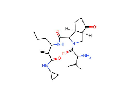 C=C(C(=O)NC1CC1)C(CCC)NC(=O)C1[C@H]2CCC(=O)[C@H]2CN1C(=O)[C@@H](N)C(C)C